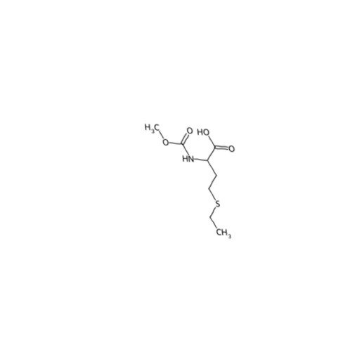 CCSCCC(NC(=O)OC)C(=O)O